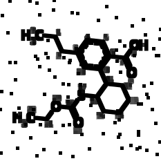 CCCc1ccc(C(=O)O)c(C2CCCCC2SC(=O)OCC)c1